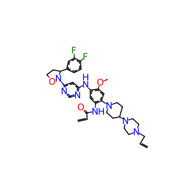 C=CCN1CCN(C2CCN(c3cc(OC)c(Nc4cc(N5OCCC5c5ccc(F)c(F)c5)ncn4)cc3NC(=O)C=C)CC2)CC1